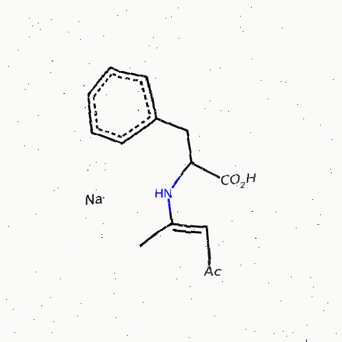 CC(=O)C=C(C)NC(Cc1ccccc1)C(=O)O.[Na]